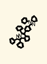 C1=CC2=NC(c3ccc(-c4c(-c5ccccc5)n5nc(-c6ccccc6)c(-c6ccccc6)c5c5ccccc45)cc3)N(c3ccccc3)C2C=C1